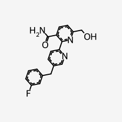 NC(=O)c1ccc(CO)nc1-c1ccc(Cc2cccc(F)c2)cn1